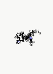 C/C=C\C1=C(C(=O)O)N2C(=O)[C@@H](NC(=O)/C(=N\OC(C)C)c3csc(N)n3)[C@@H]2SC1